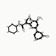 Cc1cc(-c2cncc(Cl)c2)nc2c(C(=O)NC3CCCCC3)cnn12